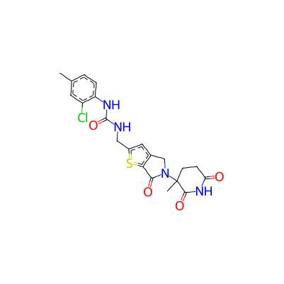 Cc1ccc(NC(=O)NCc2cc3c(s2)C(=O)N(C2(C)CCC(=O)NC2=O)C3)c(Cl)c1